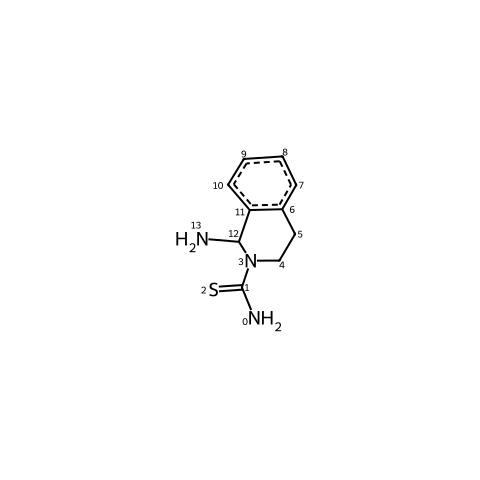 NC(=S)N1CCc2ccccc2C1N